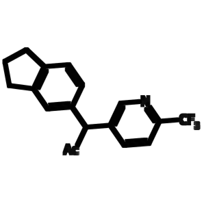 CC(=O)C(c1ccc(C(F)(F)F)nc1)c1ccc2c(c1)CCC2